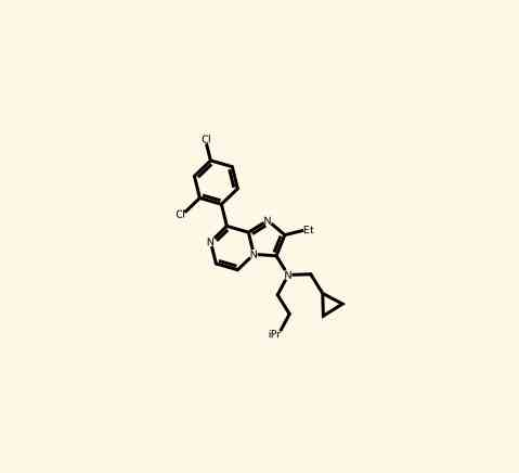 CCc1nc2c(-c3ccc(Cl)cc3Cl)nccn2c1N(CCC(C)C)CC1CC1